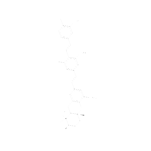 COc1cc(/C=C/c2c(O)cc(/C=C/c3cc4c(c(OC)c3)O[C@]3(C)CC[C@@H](O)C(C)(C)[C@H]3C4)cc2OC)ccc1C